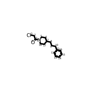 O=C(CCl)N1CCC(CCCc2ccccc2)CC1